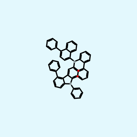 c1ccc(-c2ccccc2N(c2ccc3c(c2)c2c(-c4ccccc4)cccc2n3-c2ccccc2)c2ccc(-c3ccccc3)c3ccccc23)cc1